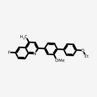 CCOc1ccc(-c2ccc(-c3cc(C)c4cc(F)ccc4n3)cc2OC)cc1